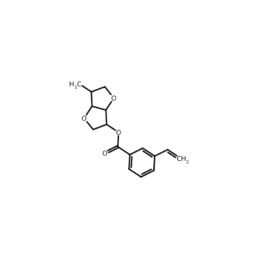 C=Cc1cccc(C(=O)OC2COC3C(C)COC23)c1